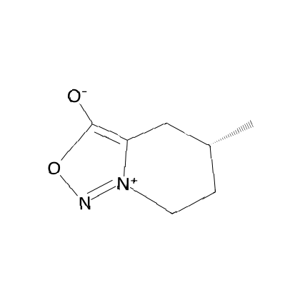 C[C@@H]1CC[n+]2noc([O-])c2C1